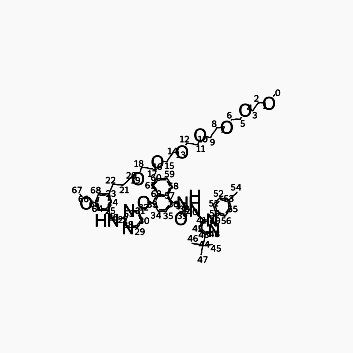 COCCOCCOCCOCCOCCOCCOCCCc1cc(Nc2nccc(Oc3ccc(NC(=O)Nc4cc(C(C)(C)C)nn4-c4ccc(C)cc4)c4ccccc34)n2)cc(OC)c1